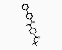 CC(C)(C)OC(=O)N1CCC(C(=O)Nc2ccc(-c3ccccc3)cc2)CC1